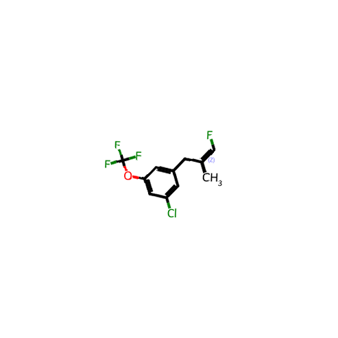 C/C(=C/F)Cc1cc(Cl)cc(OC(F)(F)F)c1